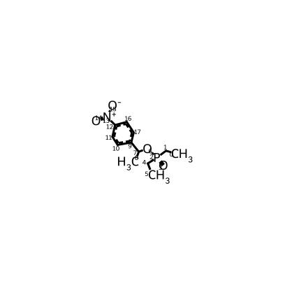 CCP(=O)(CC)OC(C)c1ccc([N+](=O)[O-])cc1